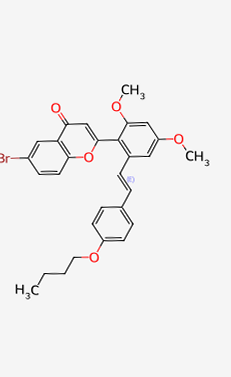 CCCCOc1ccc(/C=C/c2cc(OC)cc(OC)c2-c2cc(=O)c3cc(Br)ccc3o2)cc1